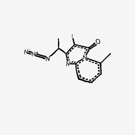 Cc1cccc2nc(C(C)N=[N+]=[N-])c(I)c(=O)n12